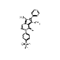 Cc1c2cnn(-c3ccc(S(C)(=O)=O)cc3)c(=O)c2c(C)n1-c1ccccc1